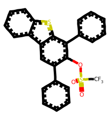 O=S(=O)(Oc1c(-c2ccccc2)cc2c(sc3ccccc32)c1-c1ccccc1)C(F)(F)F